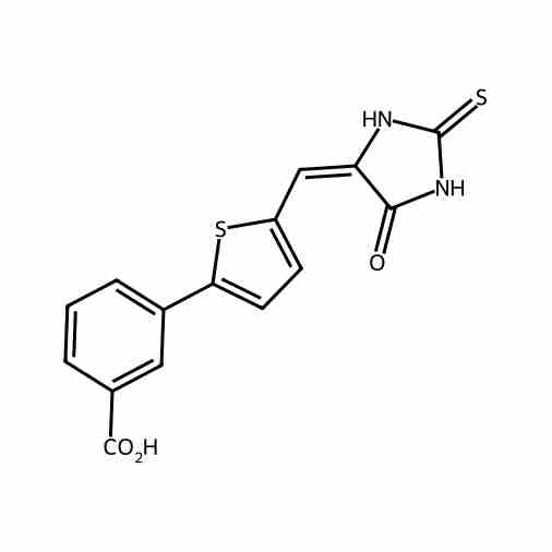 O=C1NC(=S)NC1=Cc1ccc(-c2cccc(C(=O)O)c2)s1